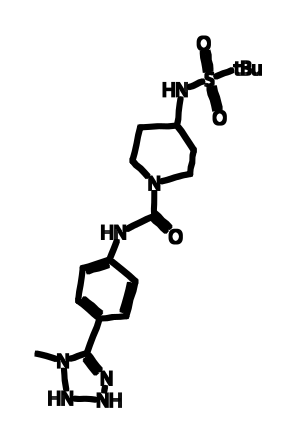 CN1NNN=C1c1ccc(NC(=O)N2CCC(NS(=O)(=O)C(C)(C)C)CC2)cc1